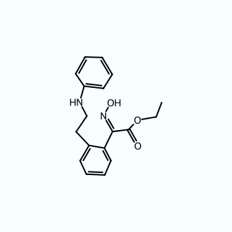 CCOC(=O)C(=NO)c1ccccc1CCNc1ccccc1